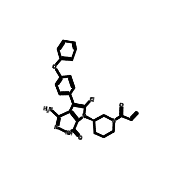 C=CC(=O)N1CCC[C@@H](n2c(Cl)c(-c3ccc(Oc4ccccc4)cc3)c3c(N)n[nH]c(=O)c32)C1